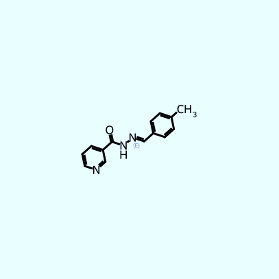 Cc1ccc(/C=N/NC(=O)c2cccnc2)cc1